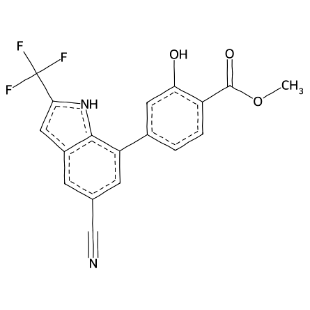 COC(=O)c1ccc(-c2cc(C#N)cc3cc(C(F)(F)F)[nH]c23)cc1O